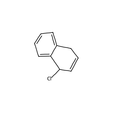 ClC1C=CCc2ccccc21